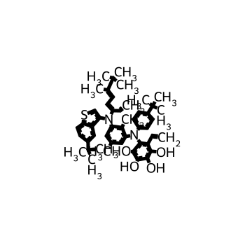 C=C/C(=C\C=C(/C)C(C)(C)C)N(c1cc(C)cc(N(c2ccc(C(C)(C)C)cc2)c2c(O)c(O)c(O)c(O)c2C=C)c1C)c1csc2ccc(C(C)(C)C)cc12